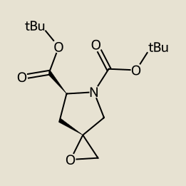 CC(C)(C)OC(=O)[C@@H]1C[C@]2(CO2)CN1C(=O)OC(C)(C)C